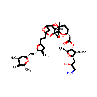 C=C1C[C@H](CC[C@]23CC(O2)C2O[C@H]4CC[C@H](CC(=O)O[C@@H]5[C@@H](OC)[C@@H](C[C@H](O)CN)O[C@H]5C)O[C@@H]4[C@H](O3)C2OC)O[C@H]1CC[C@H]1C[C@@H](C)C(=C)[C@@H](C)O1